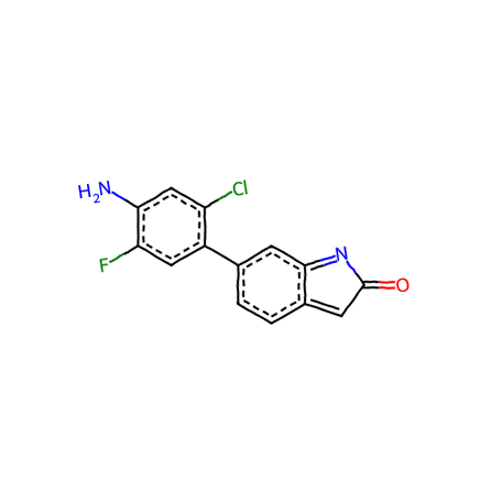 Nc1cc(Cl)c(-c2ccc3c(c2)=NC(=O)C=3)cc1F